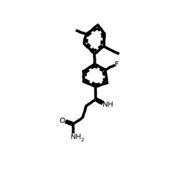 Cc1ccc(C)c(-c2ccc(C(=N)CCC(N)=O)cc2F)c1